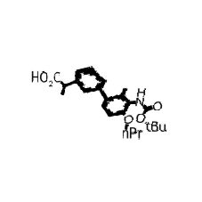 CCCOc1ccc(-c2cccc(C(C)C(=O)O)c2)c(C)c1NC(=O)OC(C)(C)C